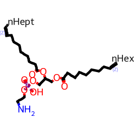 CCCCCC/C=C\CCCCCCCC(=O)OCC(COP(=O)(O)OCCN)OC(=O)CCCCCCC/C=C\CCCCCCC